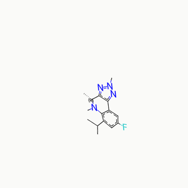 CC(C)c1cc(F)cc2c1N(C)[C@H](C)c1nn(C)nc1-2